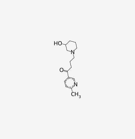 Cc1ccc(C(=O)CCCN2CCCC(O)C2)cn1